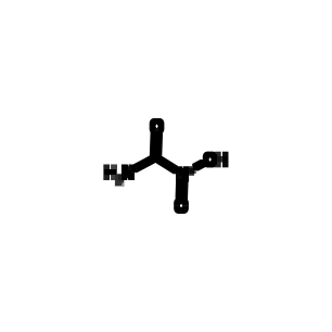 NC(=O)[N+](=O)O